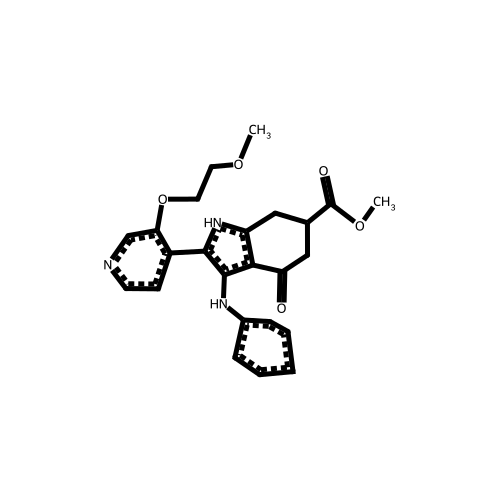 COCCOc1cnccc1-c1[nH]c2c(c1Nc1ccccc1)C(=O)CC(C(=O)OC)C2